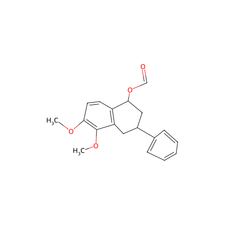 COc1ccc2c(c1OC)CC(c1ccccc1)CC2OC=O